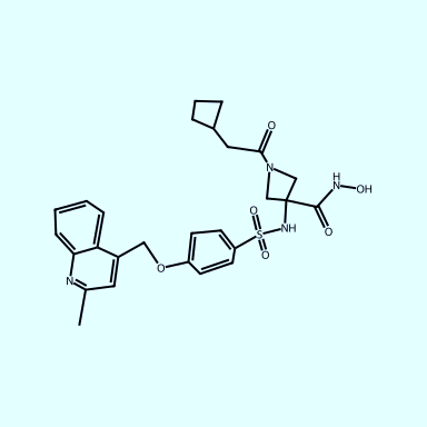 Cc1cc(COc2ccc(S(=O)(=O)NC3(C(=O)NO)CN(C(=O)CC4CCC4)C3)cc2)c2ccccc2n1